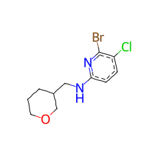 Clc1ccc(NCC2CCCOC2)nc1Br